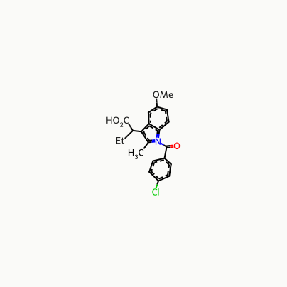 CCC(C(=O)O)c1c(C)n(C(=O)c2ccc(Cl)cc2)c2ccc(OC)cc12